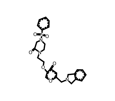 O=C1CN(S(=O)(=O)c2ccccc2)CCN1CCOc1coc(CN2Cc3ccccc3C2)cc1=O